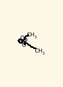 CCCCCCCCC(=O)Oc1ccccc1OC(=O)CCC